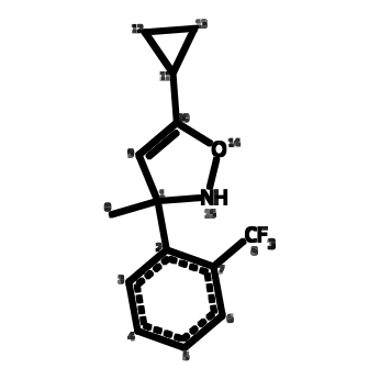 CC1(c2ccccc2C(F)(F)F)C=C(C2CC2)ON1